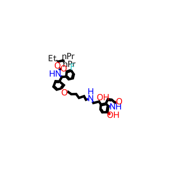 CCCC(CCC)[C@H](CC)OC(=O)NC(c1cccc(F)c1)c1cccc(OCCCCCCNC[C@H](O)c2ccc(O)c3[nH]c(=O)ccc23)c1